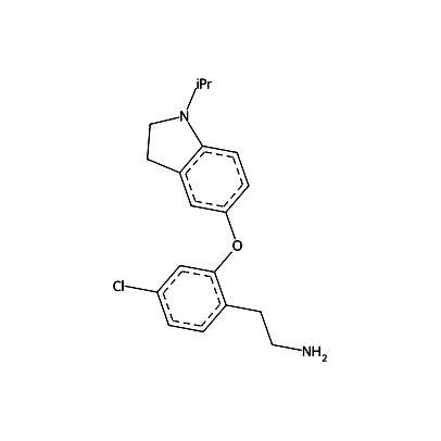 CC(C)N1CCc2cc(Oc3cc(Cl)ccc3CCN)ccc21